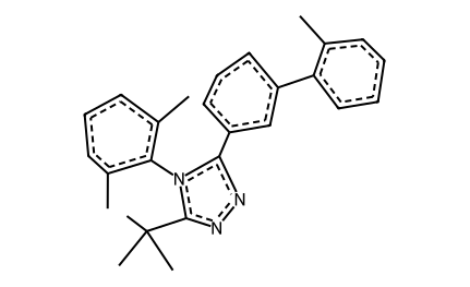 Cc1ccccc1-c1cccc(-c2nnc(C(C)(C)C)n2-c2c(C)cccc2C)c1